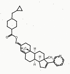 C[C@]12CCC(=NOC(=O)C3CCN(CC4CC4)CC3)C=C1CC[C@H]1[C@@H]2CC[C@]2(C)C(c3cccnc3)=CC[C@@H]12